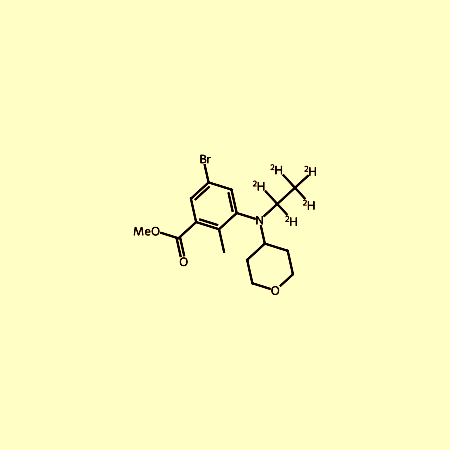 [2H]C([2H])([2H])C([2H])([2H])N(c1cc(Br)cc(C(=O)OC)c1C)C1CCOCC1